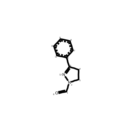 O=CN1CCC(c2ccccc2)=N1